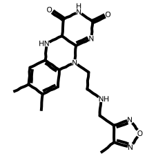 Cc1cc2c(cc1C)N(CCNCc1nonc1C)C1=NC(=O)NC(=O)C1N2